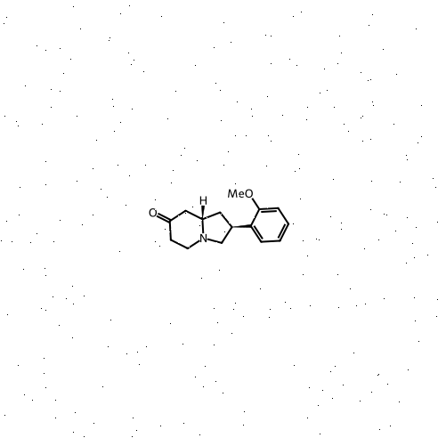 COc1ccccc1[C@@H]1C[C@H]2CC(=O)CCN2C1